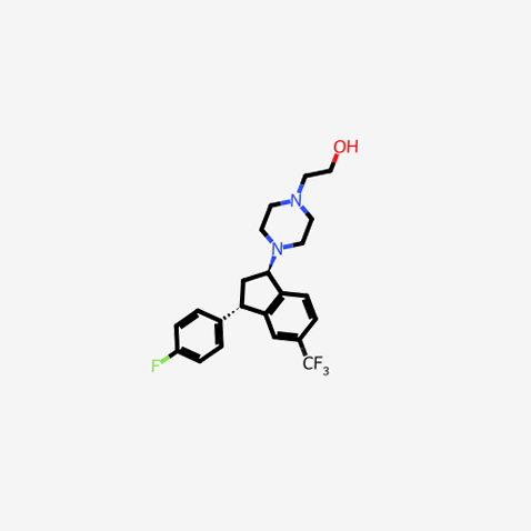 OCCN1CCN([C@@H]2C[C@@H](c3ccc(F)cc3)c3cc(C(F)(F)F)ccc32)CC1